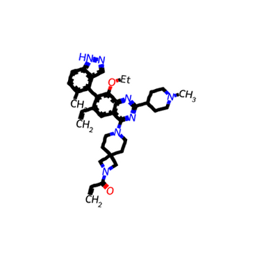 C=CC(=O)N1CC2(CCN(c3nc(C4CCN(C)CC4)nc4c(OCC)c(-c5c(C)ccc6[nH]ncc56)c(C=C)cc34)CC2)C1